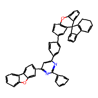 C1=CC2=C(CC1)C1(c3ccccc3Oc3ccc(-c4ccc(-c5cc(-c6ccc7c(c6)oc6ccccc67)nc(-c6ccccc6)n5)cc4)cc31)c1ccccc12